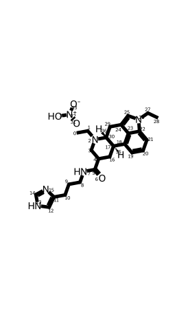 CCN1CC(C(=O)NCCCc2c[nH]cn2)C[C@@H]2c3cccc4c3c(cn4CC)C[C@H]21.O=[N+]([O-])O